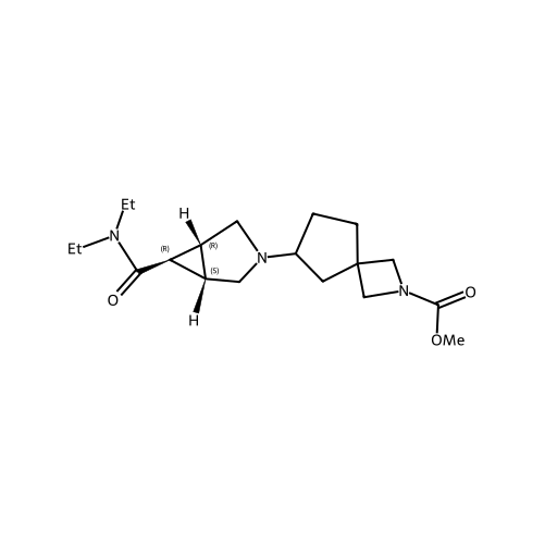 CCN(CC)C(=O)[C@H]1[C@@H]2CN(C3CCC4(C3)CN(C(=O)OC)C4)C[C@@H]21